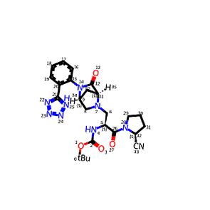 CC(C)(C)OC(=O)N[C@@H](CN1C[C@@H]2C[C@H]1C(=O)N2c1ccccc1-c1nnn[nH]1)C(=O)N1CCC[C@H]1C#N